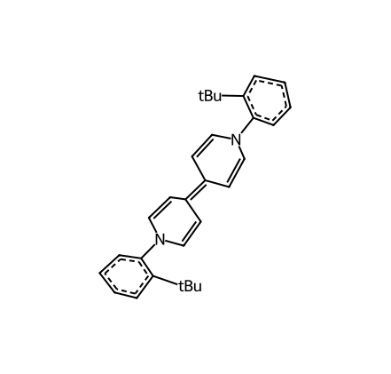 CC(C)(C)c1ccccc1N1C=CC(=C2C=CN(c3ccccc3C(C)(C)C)C=C2)C=C1